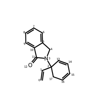 C=CC1(N2Cc3ccccc3C2=O)C=CC=CC1